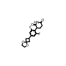 O=C1CCC(c2c(F)cc(C3CC4(C3)OCCO4)cc2F)C(=O)N1